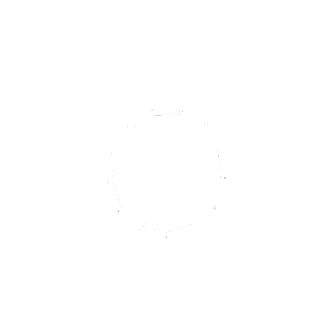 C1=CCCCC=CCCCC=CC1